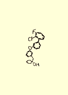 O=C(O)Cc1cccc(Oc2cccc(-c3cccc(F)c3Cl)c2)c1